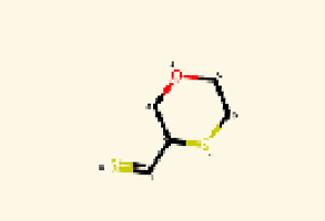 S=CC1COCCS1